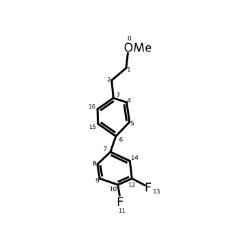 COCCc1ccc(-c2ccc(F)c(F)c2)cc1